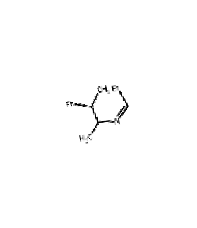 CC/C=N\C(C)[C@H](C)CC